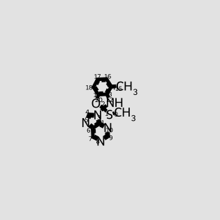 CSC1(n2cnc3cncnc32)Nc2c(C)cccc2O1